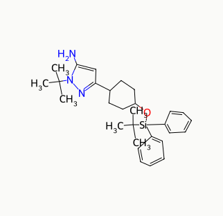 CC(C)(C)n1nc(C2CCC(O[Si](c3ccccc3)(c3ccccc3)C(C)(C)C)CC2)cc1N